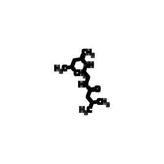 C=C(CC(C)C)NCCNC(=O)CC(C)C